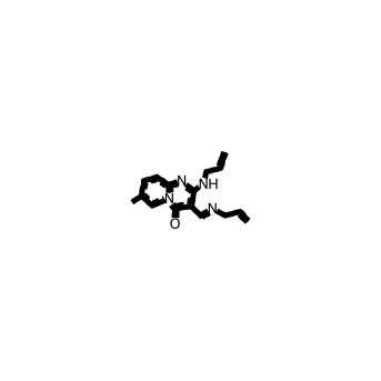 C=CC/N=C/c1c(NCC=C)nc2ccc(C)cn2c1=O